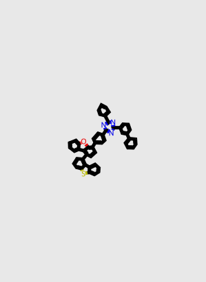 c1ccc(-c2cccc(-c3nc(-c4ccccc4)nc(-c4ccc(-c5ccc(-c6cccc7sc8ccccc8c67)c6c5oc5ccccc56)cc4)n3)c2)cc1